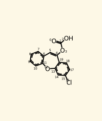 O=C(O)OC1=Cc2ccccc2Oc2cc(Cl)ccc21